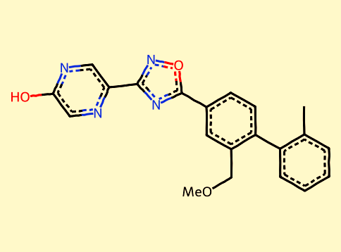 COCc1cc(-c2nc(-c3cnc(O)cn3)no2)ccc1-c1ccccc1C